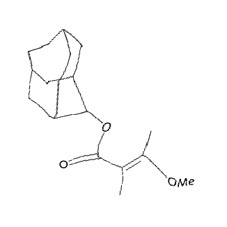 COC(C)=C(C)C(=O)OC1C2CC3CC(C2)CC1C3